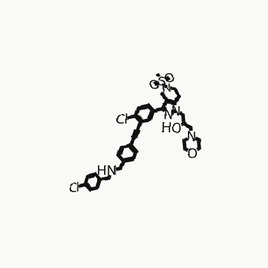 CS(=O)(=O)N1CCc2c(c(-c3ccc(Cl)c(C#Cc4ccc(CNCc5ccc(Cl)cc5)cc4)c3)nn2CC(O)CN2CCOCC2)C1